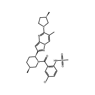 Cc1cn2nc([C@@H]3CC[C@H](C)CN3C(=O)c3cc(Cl)ccc3NS(C)(=O)=O)cc2nc1N1CC[C@@H](C)C1